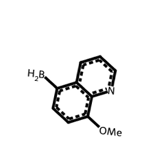 Bc1ccc(OC)c2ncccc12